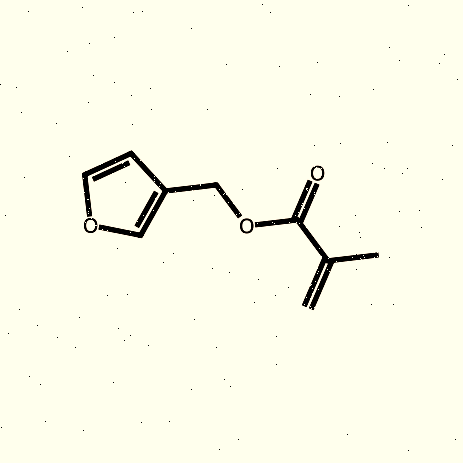 C=C(C)C(=O)OCc1ccoc1